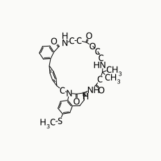 CSc1ccc2c(c1)CC[C@H]1NC(=O)CC(C)(C)NCCOC(=O)CCNC(=O)c3ccccc3-c3ccc(cc3)CN2C1=O